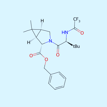 CC(C)(C)[C@H](NC(=O)C(F)(F)F)C(=O)N1C[C@H]2[C@@H]([C@H]1C(=O)OCc1ccccc1)C2(C)C